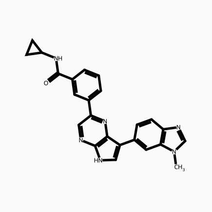 Cn1cnc2ccc(-c3c[nH]c4ncc(-c5cccc(C(=O)NC6CC6)c5)nc34)cc21